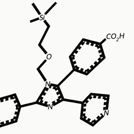 C[Si](C)(C)CCOCn1c(-c2ccccc2)nc(-c2ccncc2)c1-c1ccc(C(=O)O)cc1